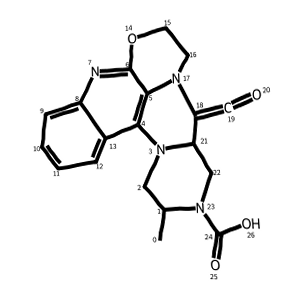 CC1CN2c3c4c(nc5ccccc35)OCCN4C(=C=O)C2CN1C(=O)O